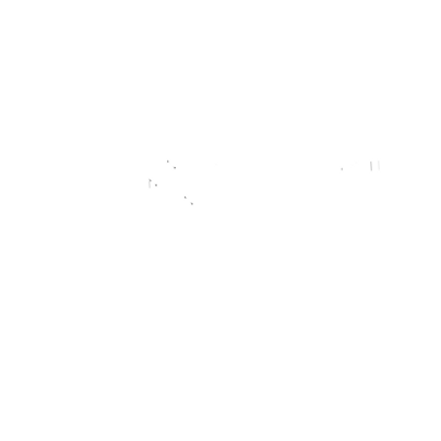 O=C(O)c1cccc(-c2cccc(-c3nc(-c4ccccc4)n(-c4ccccc4)n3)c2)c1